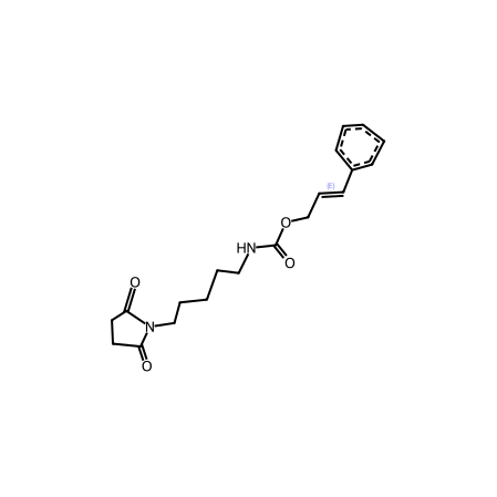 O=C(NCCCCCN1C(=O)CCC1=O)OC/C=C/c1ccccc1